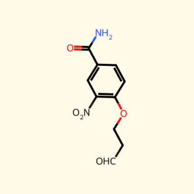 NC(=O)c1ccc(OCCC=O)c([N+](=O)[O-])c1